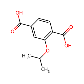 CC(C)Oc1cc(C(=O)O)ccc1C(=O)O